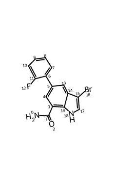 NC(=O)c1cc(-c2ccccc2F)cc2c(Br)c[nH]c12